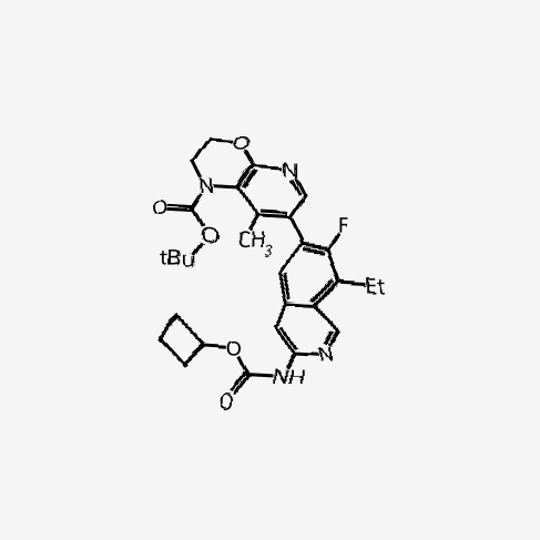 CCc1c(F)c(-c2cnc3c(c2C)N(C(=O)OC(C)(C)C)CCO3)cc2cc(NC(=O)OC3CCC3)ncc12